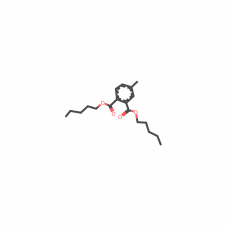 CCCCCOC(=O)c1ccc(C)cc1C(=O)OCCCCC